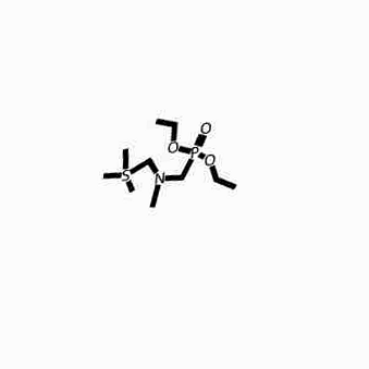 CCOP(=O)(CN(C)CS(C)(C)C)OCC